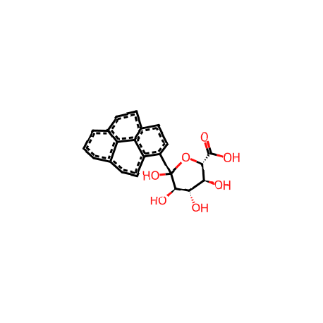 O=C(O)[C@H]1OC(O)(c2ccc3ccc4cccc5ccc2c3c45)[C@H](O)[C@@H](O)[C@@H]1O